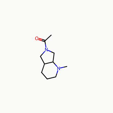 CC(=O)N1CC2CCCN(C)C2C1